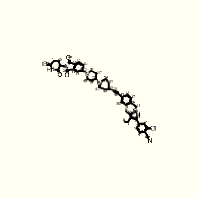 CCc1c(-c2ccc(C#N)c(Cl)c2)nn(Cc2ccc(C#CC3CCN(C4CCN(c5ccc6c(c5)C(=O)N(C5CCC(=O)NC5=O)C6=O)CC4)CC3)cc2)c1C